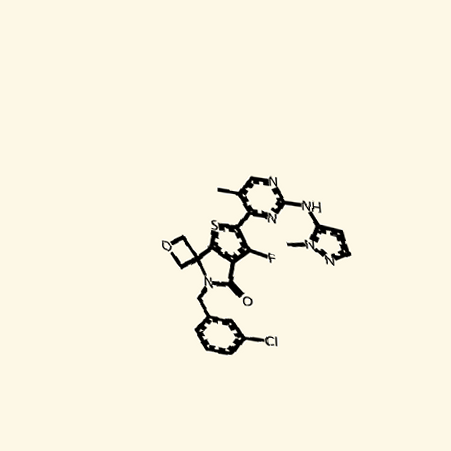 Cc1cnc(Nc2ccnn2C)nc1-c1sc2c(c1F)C(=O)N(Cc1cccc(Cl)c1)C21COC1